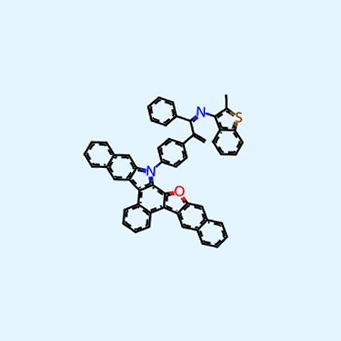 C=C(/C(=N\c1c(C)sc2ccccc12)c1ccccc1)c1ccc(-n2c3cc4ccccc4cc3c3c4ccccc4c4c5cc6ccccc6cc5oc4c32)cc1